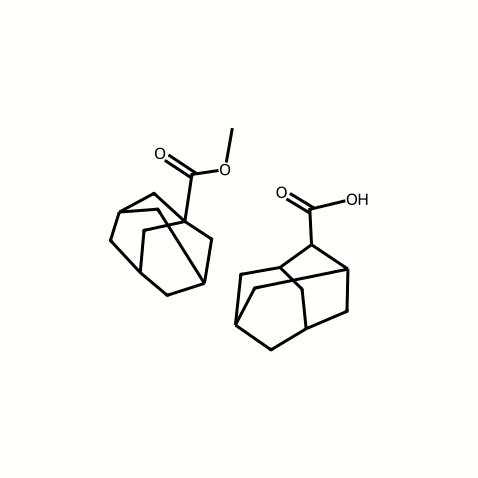 COC(=O)C12CC3CC(CC(C3)C1)C2.O=C(O)C1C2CC3CC(C2)CC1C3